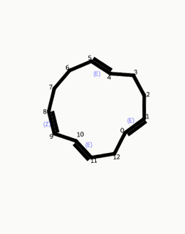 [C]1=C/CC/C=C/CC/C=C\C=C\C/1